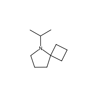 CC(C)N1CCCC12CCC2